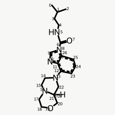 CC(C)CCNC(=O)n1cnc2c(N3CCN4CCOC[C@H]4C3)cccc21